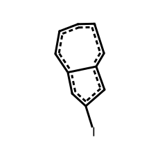 Ic1cc2cccccc-2c1